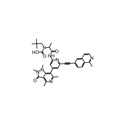 Cc1nc(C)c2c(=O)n(C)n(C)c2c1-c1cc(C#Cc2ccc3c(C)nccc3c2)nc(NC(=O)C(C)N(CC(C)(C)C)C(=O)O)c1